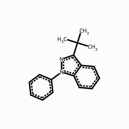 CC(C)(C)c1nn(-c2ccccc2)c2ccccc12